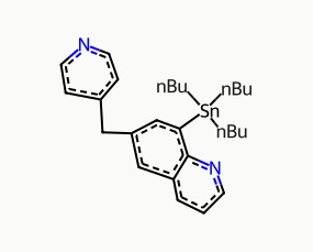 CCC[CH2][Sn]([CH2]CCC)([CH2]CCC)[c]1cc(Cc2ccncc2)cc2cccnc12